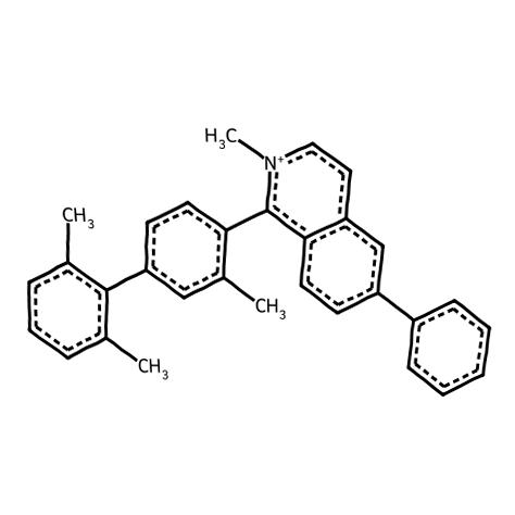 Cc1cc(-c2c(C)cccc2C)ccc1-c1c2ccc(-c3ccccc3)cc2cc[n+]1C